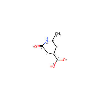 CC1CC(C(=O)O)CC(=O)N1